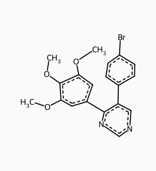 COc1cc(-c2ncncc2-c2ccc(Br)cc2)cc(OC)c1OC